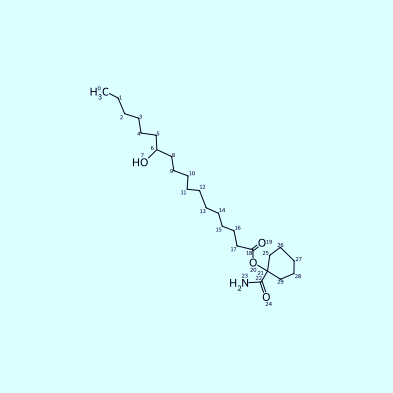 CCCCCCC(O)CCCCCCCCCCC(=O)OC1(C(N)=O)CCCCC1